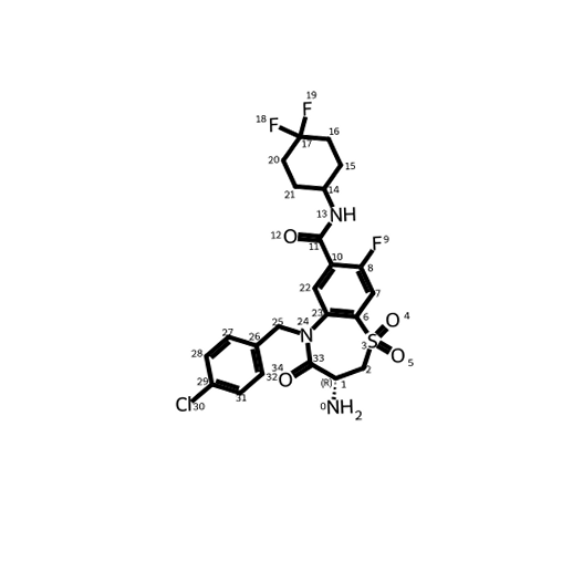 N[C@H]1CS(=O)(=O)c2cc(F)c(C(=O)NC3CCC(F)(F)CC3)cc2N(Cc2ccc(Cl)cc2)C1=O